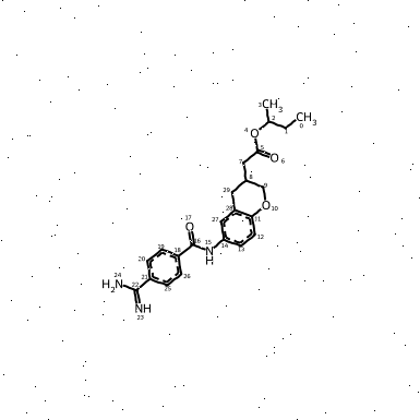 CCC(C)OC(=O)CC1COc2ccc(NC(=O)c3ccc(C(=N)N)cc3)cc2C1